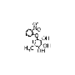 C[C@@H]1O[C@@H](Oc2ccccc2[N+](=O)[O-])[C@H](O)[C@H](O)[C@H]1O